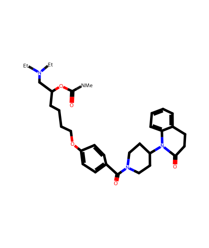 CCN(CC)CC(CCCCOc1ccc(C(=O)N2CCC(N3C(=O)CCc4ccccc43)CC2)cc1)OC(=O)NC